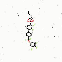 CCCC12COC(c3ccc(-c4ccc(C(F)(F)Oc5cc(F)c(F)c(F)c5)cc4)c(F)c3F)(OC1)OC2